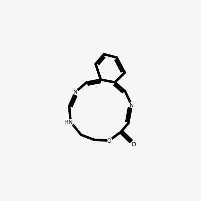 O=C1C=NC=c2ccccc2=CN=CNCCO1